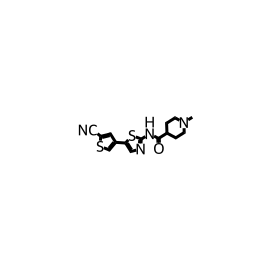 CN1CCC(C(=O)Nc2ncc(-c3csc(C#N)c3)s2)CC1